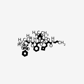 C=CCNC(=O)C(=O)C(CC1CCC1)NC(=O)[C@@H]1[C@@H]2[C@H](CN1C(=O)[C@@H](NC(=O)N[C@H](CN(C)S(=O)(=O)c1ccccc1)C(C)(C)C)C1CCCCC1)C2(C)C